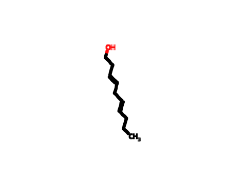 CCCC=CCC=CCCO